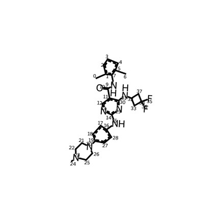 Cc1cccc(C)c1NC(=O)c1cnc(Nc2ccc(N3CCN(C)CC3)cc2)nc1NC1CC(F)(F)C1